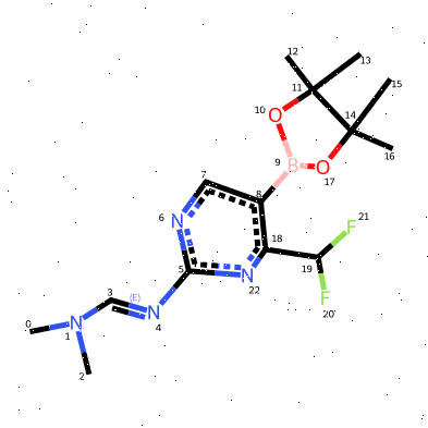 CN(C)/C=N/c1ncc(B2OC(C)(C)C(C)(C)O2)c(C(F)F)n1